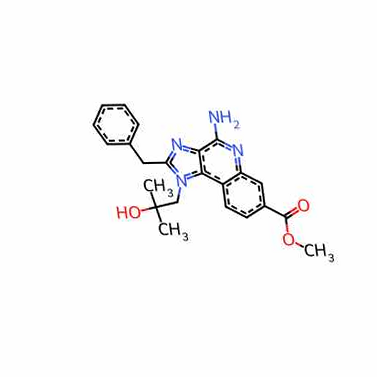 COC(=O)c1ccc2c(c1)nc(N)c1nc(Cc3ccccc3)n(CC(C)(C)O)c12